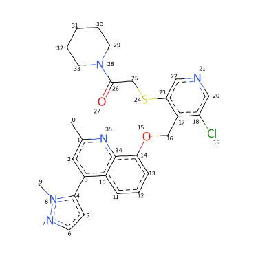 Cc1cc(-c2ccnn2C)c2cccc(OCc3c(Cl)cncc3SCC(=O)N3CCCCC3)c2n1